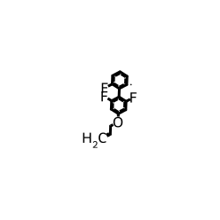 C=CCOc1cc(F)c(-c2[c]cccc2F)c(F)c1